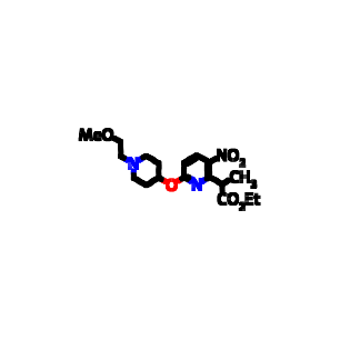 CCOC(=O)C(C)c1nc(OC2CCN(CCOC)CC2)ccc1[N+](=O)[O-]